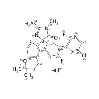 CN1C(=O)C(c2ccc3c(c2)CCC(C)(C)O3)(c2ccc(F)c(-c3cc(Cl)cnc3F)c2)N=C1[AsH2].Cl